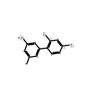 Cc1cc(N)cc(-c2ccc(C(F)(F)F)cc2Cl)c1